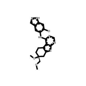 COC[C@@]1(OC)CCc2c(sc3ncnc(Nc4cc5cn[nH]c5cc4Cl)c23)C1